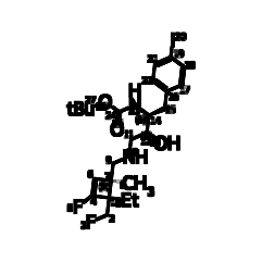 CCC1(CF)C(F)=C[C@@]1(C)CNC[C@H](O)[C@H](Cc1ccc(I)cc1)NC(=O)OC(C)(C)C